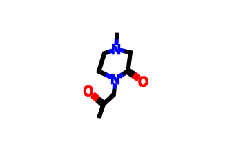 CC(=O)CN1CCN(C)CC1=O